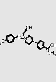 C#CC[N@+]1(COc2ccc(C(F)(F)F)cc2)CC[C@H](c2ccc(N(C)C)cc2)CC1